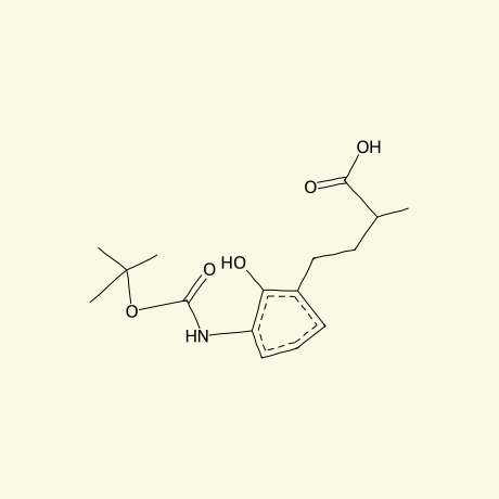 CC(CCc1cccc(NC(=O)OC(C)(C)C)c1O)C(=O)O